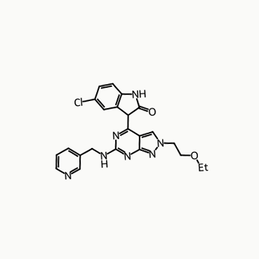 CCOCCn1cc2c(C3C(=O)Nc4ccc(Cl)cc43)nc(NCc3cccnc3)nc2n1